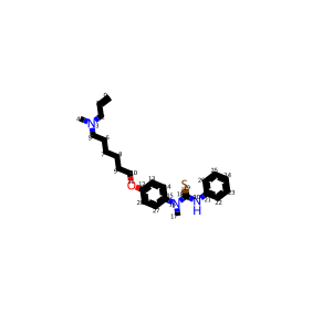 C=CCN(C)CCCCCCOc1ccc(N(C)C(=S)Nc2ccccc2)cc1